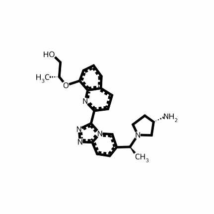 C[C@H](CO)Oc1cccc2ccc(-c3nnc4ccc([C@H](C)N5CC[C@H](N)C5)cn34)nc12